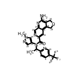 CC(c1ccc(C(F)(F)F)cn1)N(C(=O)c1cc2c3c(c(N)nc2cn1)COC3)c1cnn(C)c1